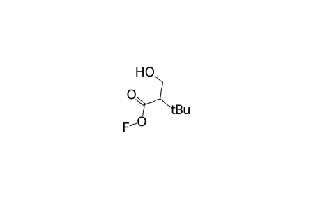 CC(C)(C)C(CO)C(=O)OF